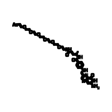 CC(=O)CCOCCOCCOCCOCCOCCOCCNC(=O)CC[C@@H](C)NC(=O)c1ccc(NCc2cnc3cc(N)[nH]c(=O)c3n2)cc1